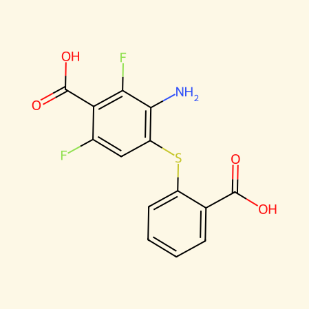 Nc1c(Sc2ccccc2C(=O)O)cc(F)c(C(=O)O)c1F